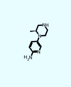 C[C@H]1CNCCN1c1ccc(N)nc1